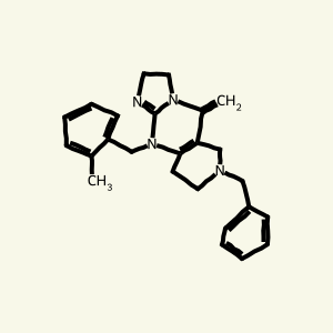 C=C1C2=C(CCN(Cc3ccccc3)C2)N(Cc2ccccc2C)C2=NCCN12